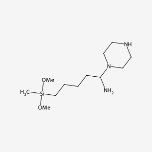 CO[Si](C)(CCCCC(N)N1CCNCC1)OC